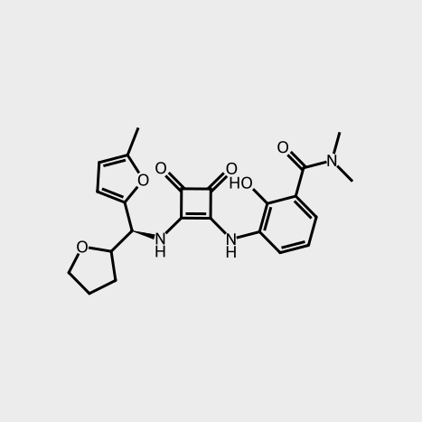 Cc1ccc([C@@H](Nc2c(Nc3cccc(C(=O)N(C)C)c3O)c(=O)c2=O)C2CCCO2)o1